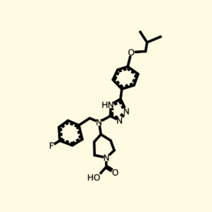 CC(C)COc1ccc(-c2nnc(N(Cc3ccc(F)cc3)C3CCN(C(=O)O)CC3)[nH]2)cc1